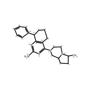 CC1CCC2CN(c3nc(N)nc4c3CCCC4c3ccccc3)CCN12